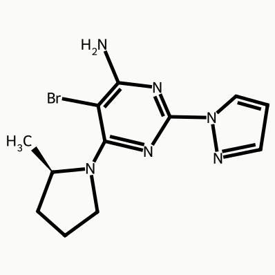 C[C@@H]1CCCN1c1nc(-n2cccn2)nc(N)c1Br